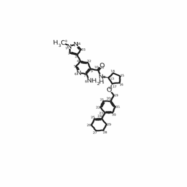 Cn1cc(-c2cnc(N)c(C(=O)N[C@H]3CCC[C@@H]3OCc3ccc(C4=CCCCC4)cc3)c2)cn1